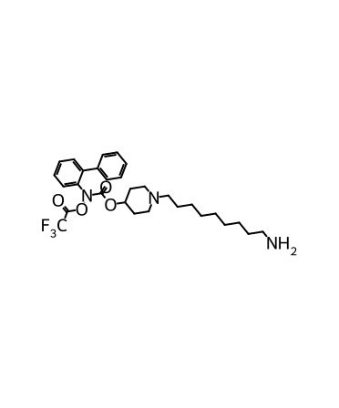 NCCCCCCCCCN1CCC(OC(=O)N(OC(=O)C(F)(F)F)c2ccccc2-c2ccccc2)CC1